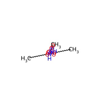 CCCCCCCCCCCCCCCCCCOC(=O)NC(CNC(=O)OCCCCCCCCCCCCCCCC)C(=O)NCCOCCOC